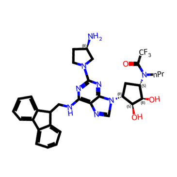 CCCN(C(=O)C(F)(F)F)[C@H]1C[C@@H](n2cnc3c(NCC4c5ccccc5-c5ccccc54)nc(N4CC[C@@H](N)C4)nc32)[C@H](O)[C@@H]1O